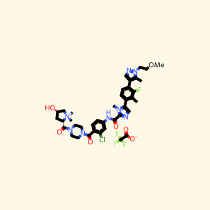 COCCn1ncc(-c2ccc(-c3cnc(C(=O)Nc4ccc(C(=O)N5CCN(C(=O)[C@@H]6C[C@@H](O)C[N+]6(C)C)CC5)c(Cl)c4)n3C)c(C)c2F)c1C.O=C([O-])C(F)(F)F